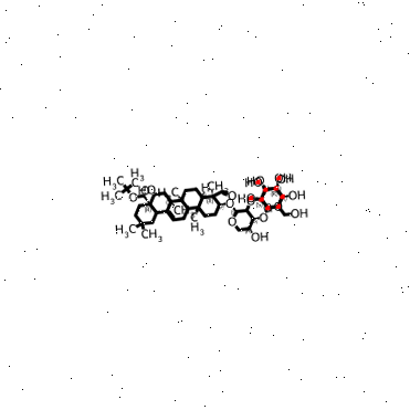 CC1(C)CC[C@]2(C(=O)OC(C)(C)C)C(O)C[C@]3(C)C(=CCC4C5(C)CC[C@H](O[C@@H]6OC[C@@H](O)[C@H](O[C@@H]7OC[C@@H](O)[C@H](O)C7O)C6O[C@@H]6OC(CO)[C@H](O)[C@H](O)C6O)[C@](C)(C=O)[C@@H]5CC[C@@]43C)C2C1